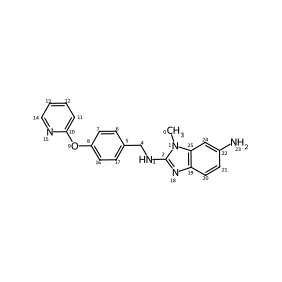 Cn1c(NCc2ccc(Oc3ccccn3)cc2)nc2ccc(N)cc21